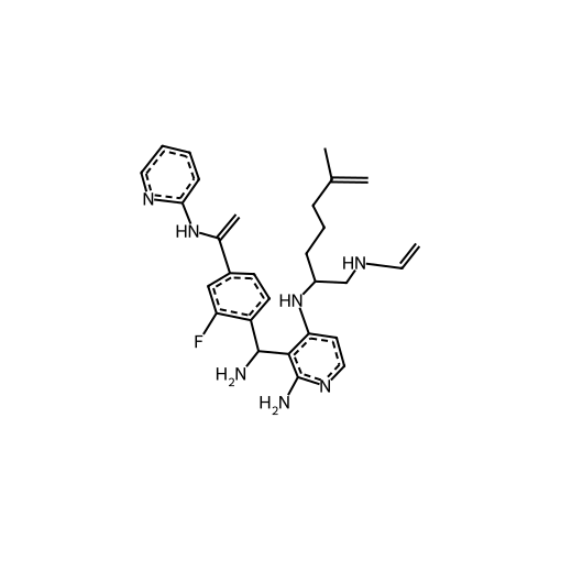 C=CNCC(CCCC(=C)C)Nc1ccnc(N)c1C(N)c1ccc(C(=C)Nc2ccccn2)cc1F